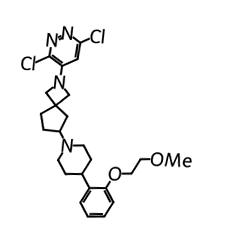 COCCOc1ccccc1C1CCN(C2CCC3(C2)CN(c2cc(Cl)nnc2Cl)C3)CC1